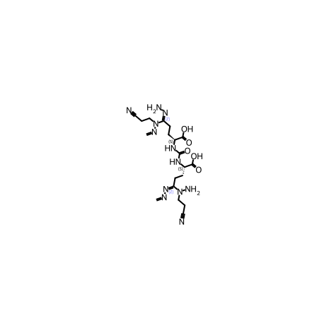 C=N/N=C(/CC[C@H](NC(=O)N[C@@H](CC/C(=N/N)N(CCC#N)N=C)C(=O)O)C(=O)O)N(N)CCC#N